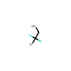 CCCCC(F)(F)CC